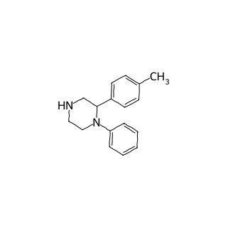 Cc1ccc(C2CNCCN2c2ccccc2)cc1